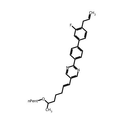 C=CCc1ccc(-c2ccc(-c3ncc(C=CCCCC(C)OCCCCC)cn3)cc2)cc1F